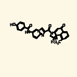 Cc1cccc2c1C13C[C@@H]1CN(C(=O)c1cn4cc(NC(=O)c5ccc(O)cc5)ccc4n1)C3=CC2=O